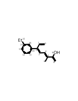 C=C/C(=C\C=C(/C)C(=C)O)c1cccc(CC)c1